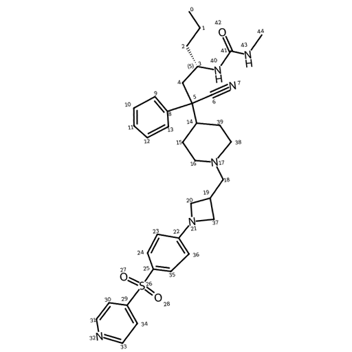 CCC[C@@H](CC(C#N)(c1ccccc1)C1CCN(CC2CN(c3ccc(S(=O)(=O)c4ccncc4)cc3)C2)CC1)NC(=O)NC